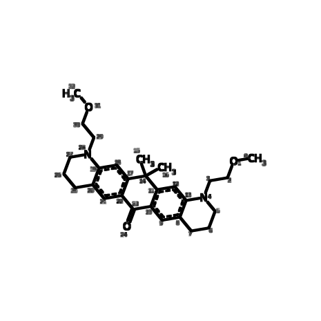 COCCN1CCCc2cc3c(cc21)C(C)(C)c1cc2c(cc1C3=O)CCCN2CCOC